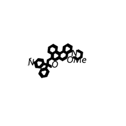 COc1cc2c3c(c4c(c2c2cccc(N5CCCCC5)c12)C=CCC4)CC(c1ccccc1)(c1ccc(N(C)C)cc1)CO3